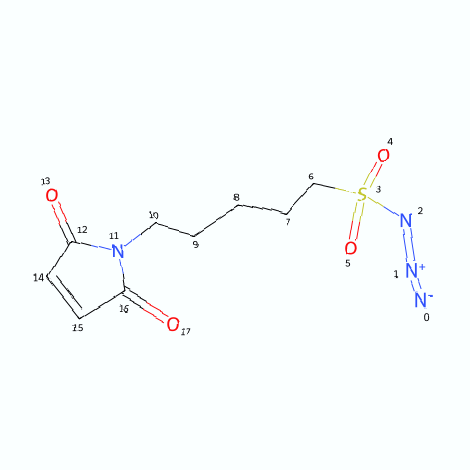 [N-]=[N+]=NS(=O)(=O)CCCCCN1C(=O)C=CC1=O